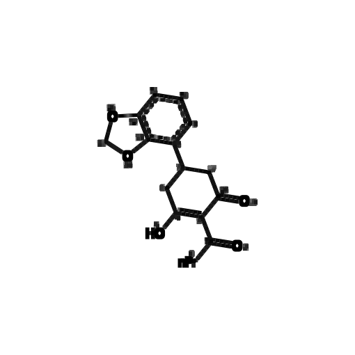 CCCC(=O)C1=C(O)CC(c2cccc3c2OCO3)CC1=O